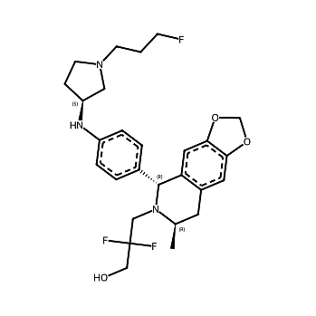 C[C@@H]1Cc2cc3c(cc2[C@@H](c2ccc(N[C@H]4CCN(CCCF)C4)cc2)N1CC(F)(F)CO)OCO3